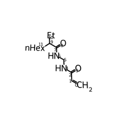 C=CC(=O)NCNC(=O)C(CC)CCCCCC